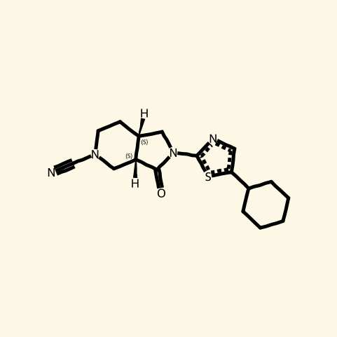 N#CN1CC[C@@H]2CN(c3ncc(C4CCCCC4)s3)C(=O)[C@@H]2C1